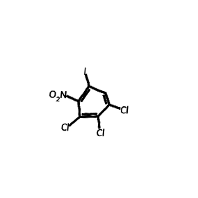 O=[N+]([O-])c1c(I)cc(Cl)c(Cl)c1Cl